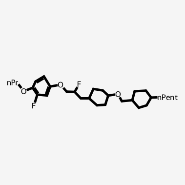 CCCCCC1CCC(COC2CCC(CC(F)COc3ccc(OCCC)c(F)c3)CC2)CC1